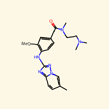 COc1cc(C(=O)N(C)CCN(C)C)ccc1Nc1nc2ccc(C)cn2n1